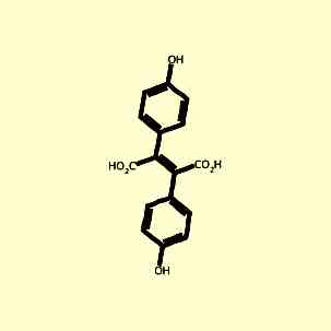 O=C(O)/C(=C(/C(=O)O)c1ccc(O)cc1)c1ccc(O)cc1